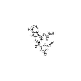 CNc1nc(CNC(=O)c2cc(Cl)cc(C#N)c2)n(-c2ncc(C#N)s2)n1